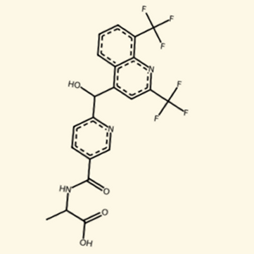 CC(NC(=O)c1ccc(C(O)c2cc(C(F)(F)F)nc3c(C(F)(F)F)cccc23)nc1)C(=O)O